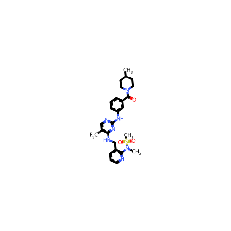 CC1CCN(C(=O)c2cccc(Nc3ncc(C(F)(F)F)c(NCc4cccnc4N(C)S(C)(=O)=O)n3)c2)CC1